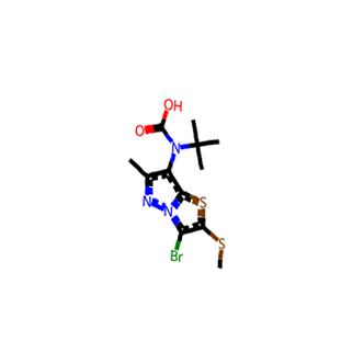 CSc1sc2c(N(C(=O)O)C(C)(C)C)c(C)nn2c1Br